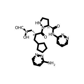 Nc1cccnn1.O=CN(O)C[C@@H](CC1CCCC1)C(=O)N1NCC[C@H]1C(=O)Nc1cccnn1